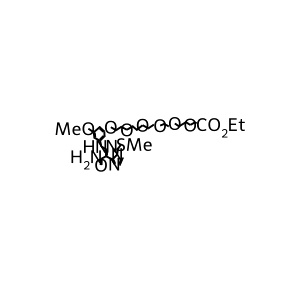 CCOC(=O)COCCOCCOCCOCCOCCOc1cc(Nc2nc(SC)n3ccnc3c2C(N)=O)cc(OC)c1